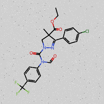 CCOC(=O)C1(C)CN(C(=O)N(C=O)c2ccc(C(F)(F)F)cc2)N=C1c1ccc(Cl)cc1